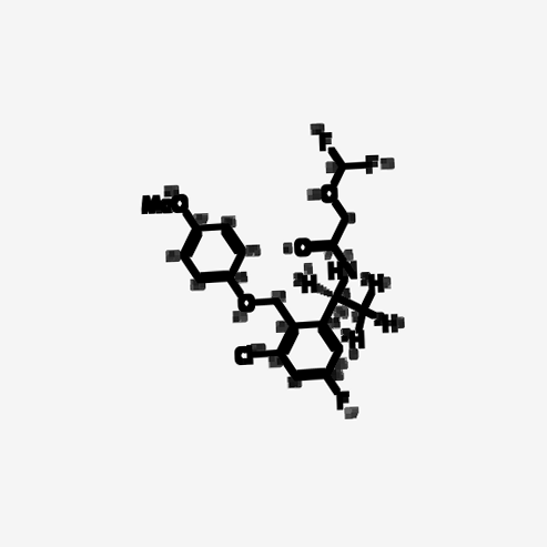 [2H]C([2H])([2H])[C@]([2H])(NC(=O)COC(F)F)c1cc(F)cc(Cl)c1COc1ccc(OC)cc1